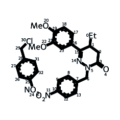 CCC1CC(=O)N(Cc2ccc([N+](=O)[O-])cc2)N=C1c1ccc(OC)c(OC)c1.O=[N+]([O-])c1ccc(CCl)cc1